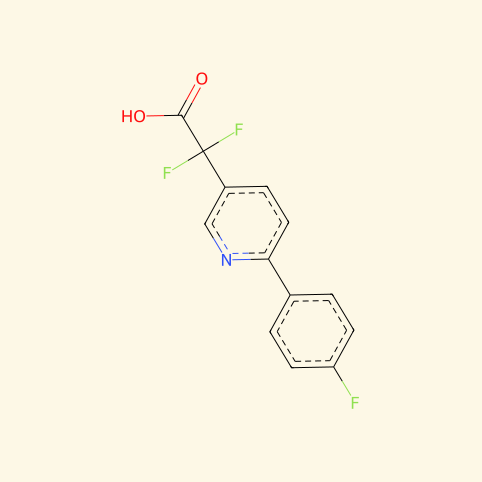 O=C(O)C(F)(F)c1ccc(-c2ccc(F)cc2)nc1